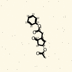 CC(=O)O[C@H]1C=C(CC(=O)Oc2ccccc2)C(=O)C1